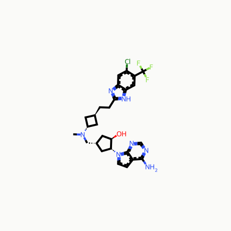 CN(C[C@@H]1C[C@@H](O)[C@H](n2ccc3c(N)ncnc32)C1)[C@H]1C[C@H](CCc2nc3cc(Cl)c(C(F)(F)F)cc3[nH]2)C1